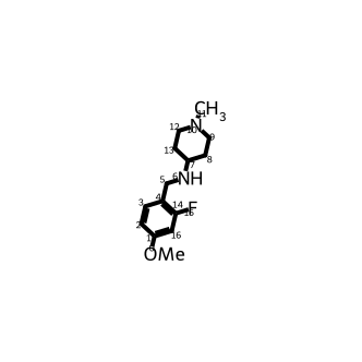 COc1ccc(CNC2CCN(C)CC2)c(F)c1